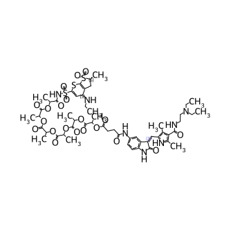 CCN[C@H]1C=C(S(=O)(=O)NC(=O)C(C)OC(=O)C(C)OC(=O)C(C)OC(=O)C(C)OC(=O)C(C)OC(=O)C(C)OC(=O)CCC(=O)Nc2ccc3c(c2)/C(=C/c2[nH]c(C)c(C(=O)NCCN(CC)CC)c2C)C(=O)N3)SC2=C1C[C@H](C)S2(=O)=O